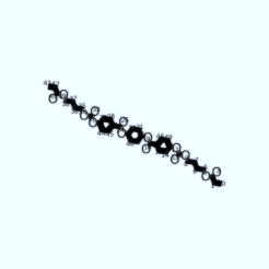 C=CC(=O)OCCCCOC(=O)Oc1ccc(C(=O)O[C@H]2CC[C@H](OC(=O)c3ccc(OC(=O)OCCCCOC(=O)C=C)cc3)CC2)cc1